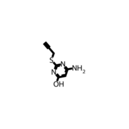 C#CCSc1nc(N)cc(O)n1